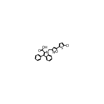 O=C(O)c1c(-c2ccccc2)c2ccccc2n1Cc1cc(-c2ccc(Cl)s2)on1